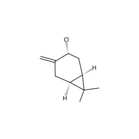 C=C1C[C@H]2[C@@H](C[C@H]1Cl)C2(C)C